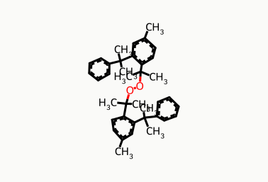 Cc1ccc(C(C)(C)OOC(C)(C)c2ccc(C)cc2C(C)(C)c2ccccc2)c(C(C)(C)c2ccccc2)c1